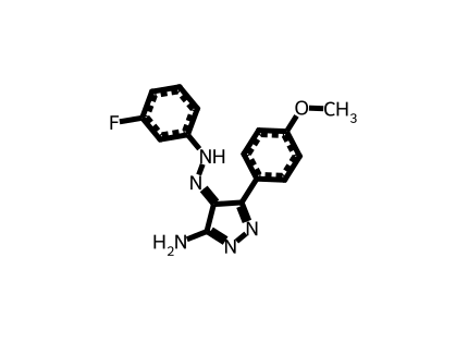 COc1ccc(C2=NN=C(N)/C2=N/Nc2cccc(F)c2)cc1